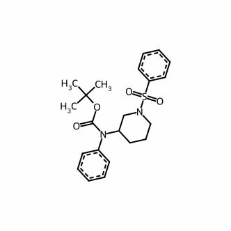 CC(C)(C)OC(=O)N(c1ccccc1)C1CCCN(S(=O)(=O)c2ccccc2)C1